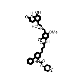 COc1cc(NC(=O)CCCc2ccc(-c3ccccc3)c(NC(=O)OC3CC[N+](C)(C)CC3)c2)c(Cl)cc1CNC[C@H](O)c1ccc(O)c2[nH]c(=O)ccc12